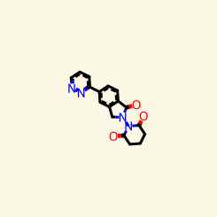 O=C1c2ccc(-c3cccnn3)cc2CN1N1C(=O)CCCC1=O